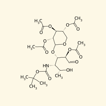 CC(=O)O[C@H]1[C@H](OC(C)=O)COC(O[C@@H]([C@@H](NC(=O)OC(C)(C)C)[C@@H](C)O)[C@H](C=O)OC(C)=O)[C@@H]1OC(C)=O